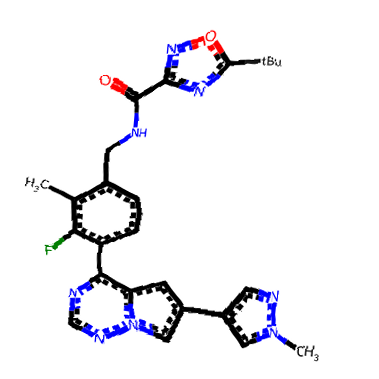 Cc1c(CNC(=O)c2noc(C(C)(C)C)n2)ccc(-c2ncnn3cc(-c4cnn(C)c4)cc23)c1F